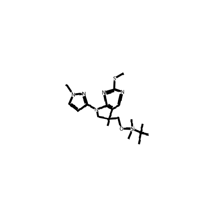 CSc1ncc2c(n1)N(c1ccn(C)n1)CC2(C)CO[Si](C)(C)C(C)(C)C